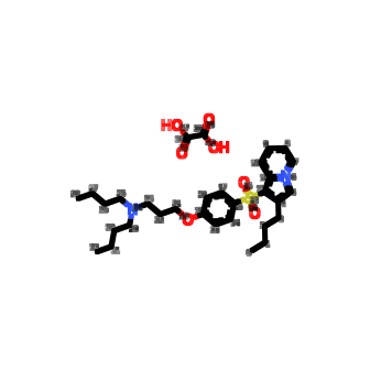 CCCCc1cn2ccccc2c1S(=O)(=O)c1ccc(OCCCN(CCCC)CCCC)cc1.O=C(O)C(=O)O